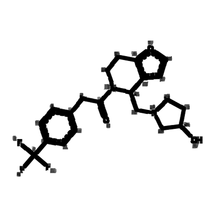 O=C(Cc1ccc(C(F)(F)F)cc1)N1CCc2occc2C1CN1CCC(O)C1